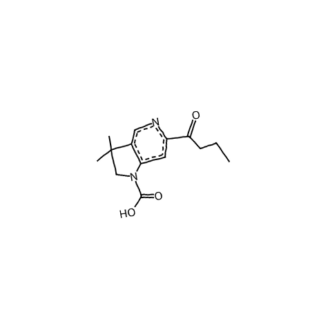 CCCC(=O)c1cc2c(cn1)C(C)(C)CN2C(=O)O